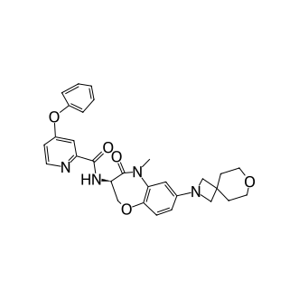 CN1C(=O)[C@H](NC(=O)c2cc(Oc3ccccc3)ccn2)COc2ccc(N3CC4(CCOCC4)C3)cc21